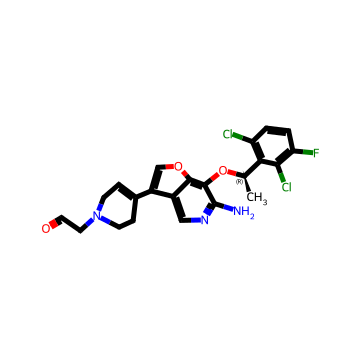 C[C@@H](Oc1c(N)ncc2c(C3=CCN(CC=O)CC3)coc12)c1c(Cl)ccc(F)c1Cl